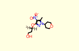 [2H]C([2H])(CCO)Oc1nn(C2CCOCC2)c(C)c1[N+](=O)[O-]